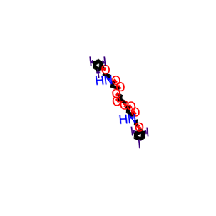 O=C(COC(=O)CC(=O)NCCOc1c(I)cc(I)cc1I)COC(=O)CC(=O)NCCOc1c(I)cc(I)cc1I